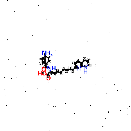 NC12CCC(C(=O)NC(CCCCCCCc3ccc4c(n3)NCCC4)C(=O)O)(CC1)CC2